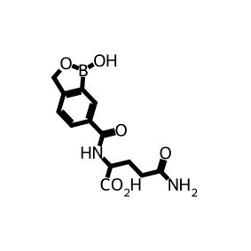 NC(=O)CCC(NC(=O)c1ccc2c(c1)B(O)OC2)C(=O)O